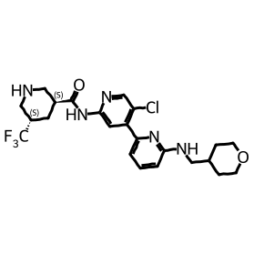 O=C(Nc1cc(-c2cccc(NCC3CCOCC3)n2)c(Cl)cn1)[C@@H]1CNC[C@@H](C(F)(F)F)C1